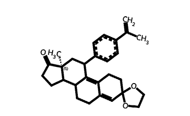 C=C(C)c1ccc(C2C[C@]3(C)C(=O)CCC3C3CCC4=CC5(CCC4=C23)OCCO5)cc1